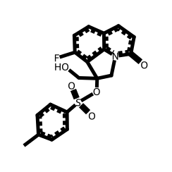 Cc1ccc(S(=O)(=O)OC2(CO)Cn3c(=O)ccc4ccc(F)c2c43)cc1